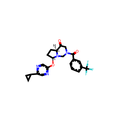 O=C1CN(C(=O)c2cccc(C(F)(F)F)c2)CN2[C@@H](Oc3cnc(C4CC4)cn3)CC[C@@H]12